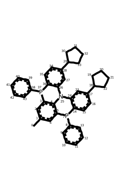 Cc1cc2c3c(c1)P(c1ccccc1)c1ccc(C4CCCC4)cc1N3c1cc(C3CCCC3)ccc1P2c1ccccc1